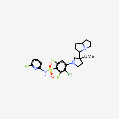 COC1(C2CCC3CCCN32)CCN(c2cc(F)c(S(=O)(=O)Nc3cccc(F)n3)c(F)c2Cl)C1